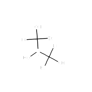 CCC(C)(CC)P(O)C(O)(CC)CC